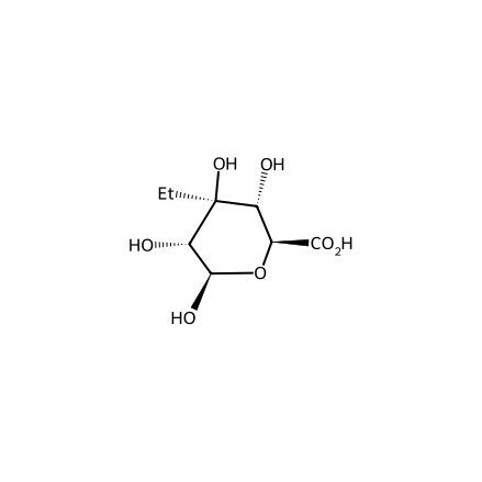 CC[C@]1(O)[C@H](O)[C@@H](C(=O)O)O[C@@H](O)[C@@H]1O